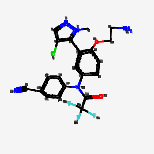 Cn1ncc(Cl)c1-c1cc(N(C(=O)C(F)(F)F)c2ccc(C#N)cc2)ccc1OCCN